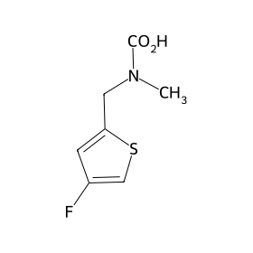 CN(Cc1cc(F)cs1)C(=O)O